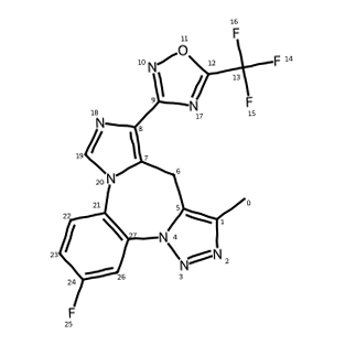 Cc1nnn2c1Cc1c(-c3noc(C(F)(F)F)n3)ncn1-c1ccc(F)cc1-2